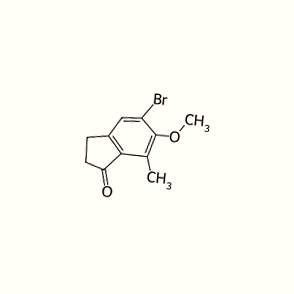 COc1c(Br)cc2c(c1C)C(=O)CC2